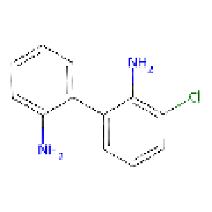 Nc1ccccc1-c1cccc(Cl)c1N